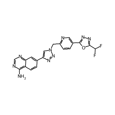 Nc1ncnc2cc(-c3cn(Cc4ccc(-c5nnc(C(F)F)o5)cn4)nn3)ccc12